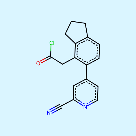 N#Cc1cc(-c2ccc3c(c2CC(=O)Cl)CCC3)ccn1